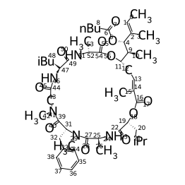 C/C=C(\C)[C@@H](OC(=O)CCCC)[C@@H](C)[C@@H]1C/C=C(\C)C(=O)O[C@H](CC(C)C)C(=O)N[C@@H](C)C(=O)N(C)[C@H](Cc2ccccc2)C(=O)N(C)CC(=O)N[C@@H]([C@H](C)CC)C(=O)N[C@H](C)C(=O)O1